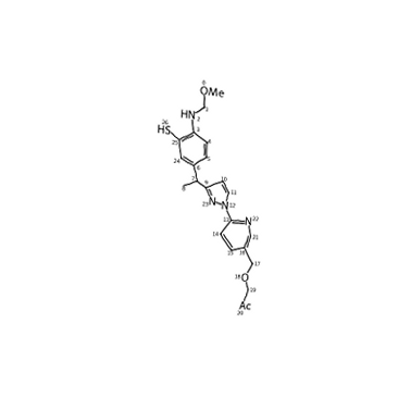 COCNc1ccc(C(C)c2ccn(-c3ccc(COCC(C)=O)cn3)n2)cc1S